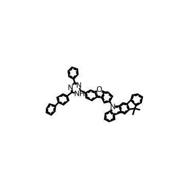 CC1(C)c2ccccc2-c2cc3c(cc21)c1ccccc1n3-c1ccc2oc3cc(C4N=C(c5ccccc5)N=C(c5ccc(-c6ccccc6)cc5)N4)ccc3c2c1